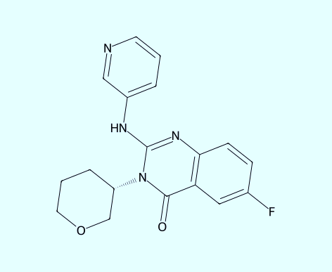 O=c1c2cc(F)ccc2nc(Nc2cccnc2)n1[C@H]1CCCOC1